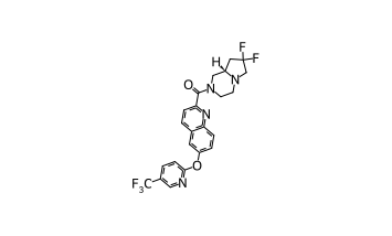 O=C(c1ccc2cc(Oc3ccc(C(F)(F)F)cn3)ccc2n1)N1CCN2CC(F)(F)C[C@H]2C1